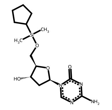 C[Si](C)(OC[C@H]1O[C@@H](n2cnc(N)nc2=O)C[C@@H]1O)C1CCCC1